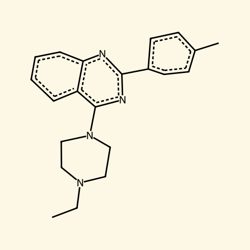 CCN1CCN(c2nc(-c3ccc(C)cc3)nc3ccccc23)CC1